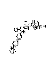 O[C@@H]1CO[C@H]2[C@@H]1OC[C@H]2Oc1nc2nc(-c3ccc(N4CCN(c5ncccn5)CC4)cc3)c(Cl)cc2[nH]1